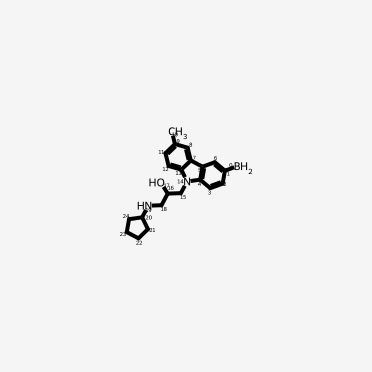 Bc1ccc2c(c1)c1cc(C)ccc1n2CC(O)CNC1CCCC1